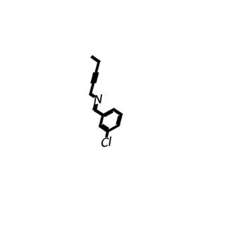 CCC#CC/N=C/c1cccc(Cl)c1